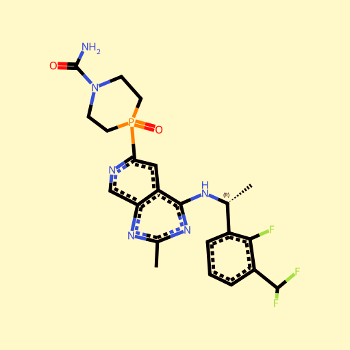 Cc1nc(N[C@H](C)c2cccc(C(F)F)c2F)c2cc(P3(=O)CCN(C(N)=O)CC3)ncc2n1